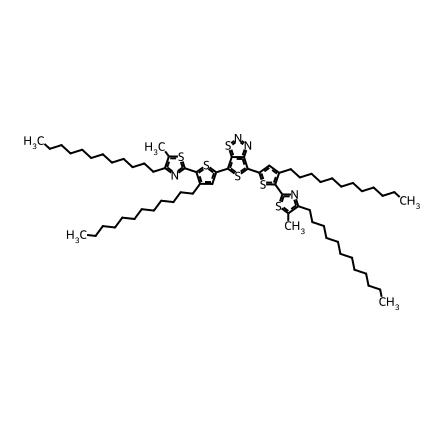 CCCCCCCCCCCCc1cc(-c2sc(-c3cc(CCCCCCCCCCCC)c(-c4nc(CCCCCCCCCCCC)c(C)s4)s3)c3snnc23)sc1-c1nc(CCCCCCCCCCCC)c(C)s1